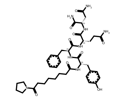 NC(=O)CC[C@H](NC(=O)[C@H](Cc1ccccc1)NC(=O)[C@H](Cc1ccc(O)cc1)NC(=O)CCCCCCC(=O)N1CCCC1)C(=O)N[C@@H](CC(N)=O)C(N)=O